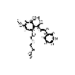 COCCOCOc1cc(OC)cc(O)c1C(=O)C=Cc1ccccc1